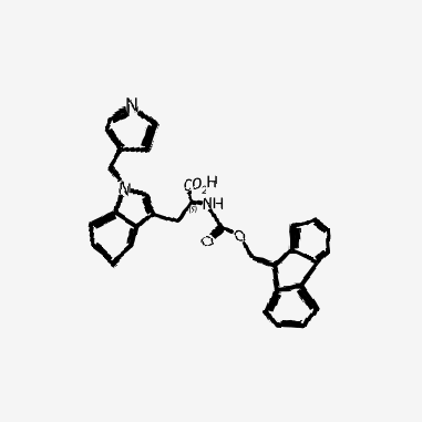 O=C(N[C@@H](Cc1cn(Cc2ccncc2)c2ccccc12)C(=O)O)OCC1c2ccccc2-c2ccccc21